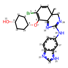 CC12C=CC(Br)=C(O[C@H]3CC[C@@H](O)CC3)C1=NC(Nc1ccc3nc[nH]c3c1)=NC2